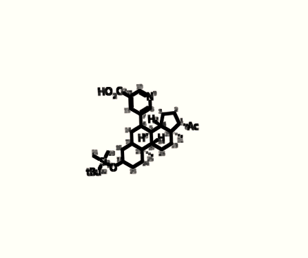 CC(=O)[C@H]1CC[C@H]2[C@@H]3C(c4cncc(C(=O)O)c4)CC4CC(O[Si](C)(C)C(C)(C)C)CC[C@]4(C)[C@H]3CC[C@]12C